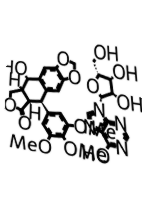 COc1cc([C@@H]2c3cc4c(cc3[C@H](O)[C@H]3COC(=O)[C@H]23)OCO4)cc(OC)c1OC.OC[C@H]1O[C@@H](n2cnc3c(O)ncnc32)[C@H](O)[C@@H]1O